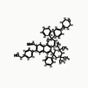 COc1cc2c3c(c4c(c2cc1-c1ccc(CO)cc1)-c1ccccc1C41CC(C)(C)CC(C)(C)C1)C=CC(c1ccccc1)(c1ccc(N2CCOCC2)cc1)O3